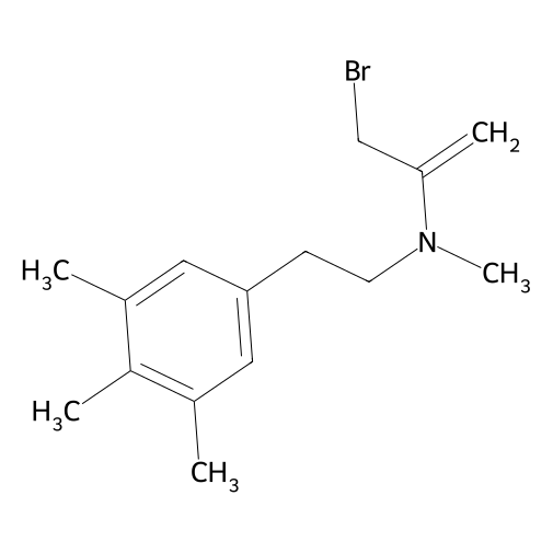 C=C(CBr)N(C)CCc1cc(C)c(C)c(C)c1